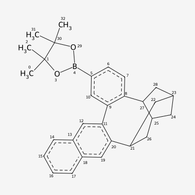 CC1(C)OB(c2ccc3c(c2)-c2cc4ccccc4cc2C2CC4CC(C2)C3C4)OC1(C)C